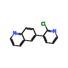 Clc1ncccc1-c1ccc2ncccc2c1